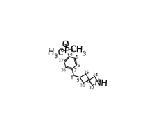 CP(C)(=O)c1ccc(CC2CC3(CNC3)C2)cc1